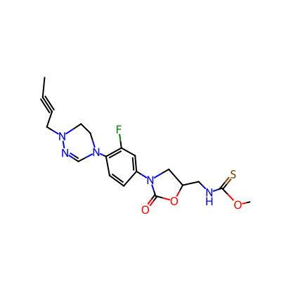 CC#CCN1CCN(c2ccc(N3CC(CNC(=S)OC)OC3=O)cc2F)C=N1